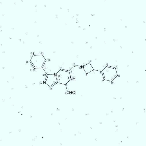 O=CC1NC(CN2CC(c3ccccc3)C2)=Cn2c1cnc2-c1ccccc1